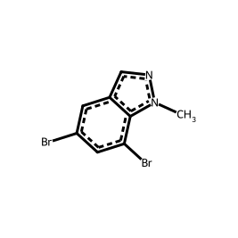 Cn1ncc2cc(Br)cc(Br)c21